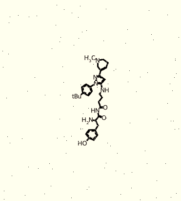 CN1CCC=C(c2cc(NCCCC(=O)NC(=O)C(N)Cc3ccc(O)cc3)n(-c3ccc(C(C)(C)C)cc3)n2)C1